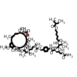 CCC(CC)C(=O)OCCCCCC(=O)N[C@H](C(=O)N[C@@H](CCCNC(N)=O)C(=O)Nc1ccc(COC(=O)N(C)CCC(=O)N(C)[C@@H](C)C(=O)O[C@@H]2CC(=O)N(C)c3cc(cc(OC)c3Cl)C/C(C)=C/C=C/[C@@H](OC)[C@@]3(O)C[C@H](OC(=O)N3)[C@@H](C)[C@@H]3O[C@@]23C)cc1)C(C)C